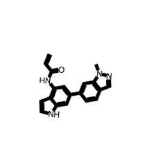 C=CC(=O)Nc1cc(-c2ccc3cnn(C)c3c2)cc2[nH]ccc12